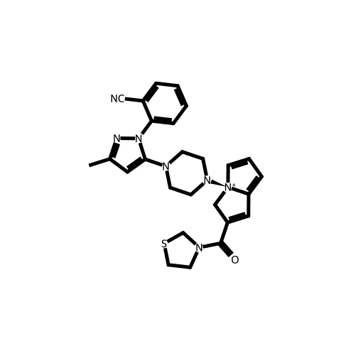 Cc1cc(N2CCN([N@@+]34C=CC=C3C=C(C(=O)N3CCSC3)C4)CC2)n(-c2ccccc2C#N)n1